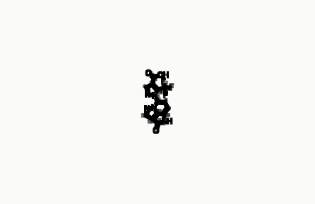 O=C(O)c1cnn(-c2ccc3[nH]c(=O)c4cnn2c34)c1C(F)(F)F